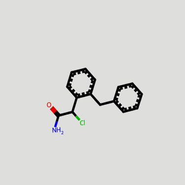 NC(=O)C(Cl)c1ccccc1Cc1ccccc1